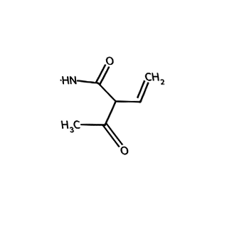 C=CC(C(C)=O)C([NH])=O